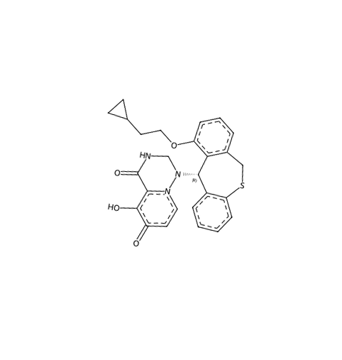 O=C1NCN([C@H]2c3ccccc3SCc3cccc(OCCC4CC4)c32)n2ccc(=O)c(O)c21